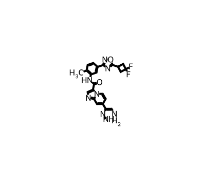 Cc1ccc(-c2noc(C3CC(F)(F)C3)n2)cc1NC(=O)c1cnc2cc(/C(=C/N)N=N)ccn12